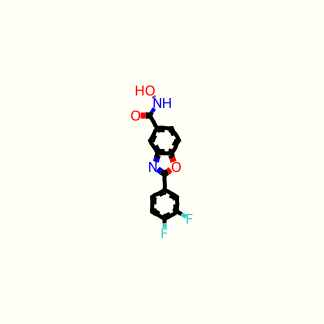 O=C(NO)c1ccc2oc(-c3ccc(F)c(F)c3)nc2c1